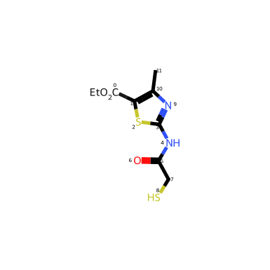 CCOC(=O)c1sc(NC(=O)CS)nc1C